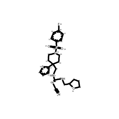 N#C/N=C(\NCC1CCCO1)NCC1(c2cccs2)CCN(S(=O)(=O)c2ccc(F)cc2)CC1